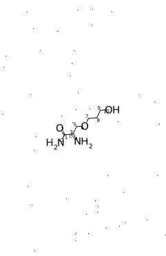 NC(=O)[C@@H](N)COCCCO